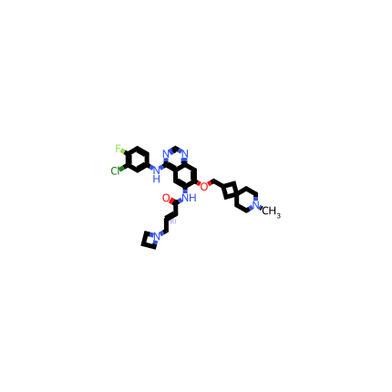 CN1CCC2(CC1)CC(COc1cc3ncnc(Nc4ccc(F)c(Cl)c4)c3cc1NC(=O)/C=C/CN1CCC1)C2